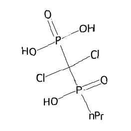 CCCP(=O)(O)C(Cl)(Cl)P(=O)(O)O